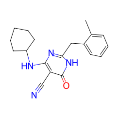 Cc1ccccc1Cc1nc(NC2CCCCC2)c(C#N)c(=O)[nH]1